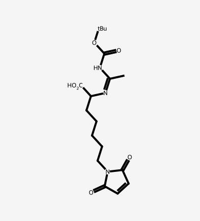 C/C(=N/C(CCCCCN1C(=O)C=CC1=O)C(=O)O)NC(=O)OC(C)(C)C